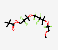 COCC(F)(F)OC(C)(C)C(F)(F)C(F)(F)OC(C)(C)C(F)(F)COC(=O)C(C)(C)C